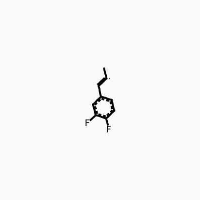 C[C]=Cc1ccc(F)c(F)c1